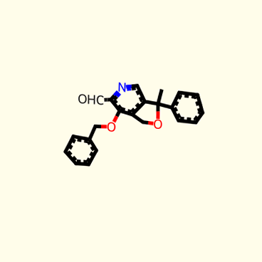 CC1(c2ccccc2)OCc2c1cnc(C=O)c2OCc1ccccc1